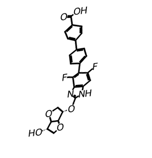 O=C(O)c1ccc(-c2ccc(-c3c(F)cc4[nH]c(O[C@H]5COC6C5OC[C@@H]6O)nc4c3F)cc2)cc1